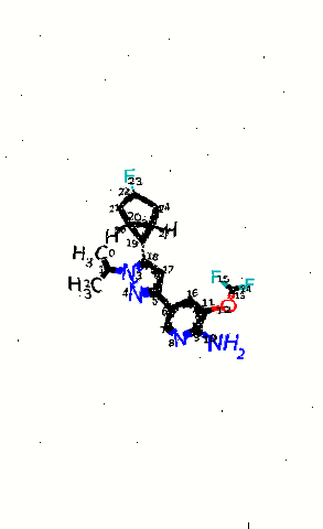 CC(C)n1nc(-c2cnc(N)c(OC(F)F)c2)cc1[C@@H]1[C@@H]2C[C@H](F)C[C@@H]21